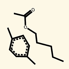 CCCCCOC(C)=O.Cc1ccc(C)cc1